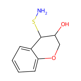 NSC1c2ccccc2OCC1O